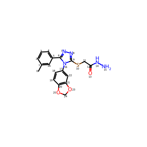 Cc1cccc(-c2nnc(SCC(=O)NN)n2-c2ccc3c(c2)OCO3)c1